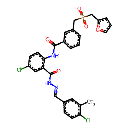 O=C(Nc1ccc(Cl)cc1C(=O)N/N=C/c1ccc(Cl)c(C(F)(F)F)c1)c1cccc(CS(=O)(=O)Cc2ccco2)c1